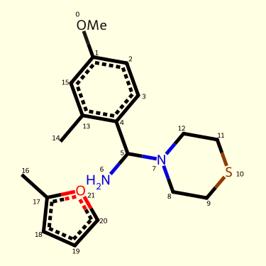 COc1ccc(C(N)N2CCSCC2)c(C)c1.Cc1ccco1